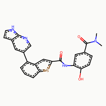 CN(C)C(=O)c1ccc(O)c(NC(=O)c2cc3c(-c4cnc5[nH]ccc5c4)cccc3s2)c1